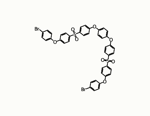 O=S(=O)(c1ccc(Oc2ccc(Br)cc2)cc1)c1ccc(Oc2ccc(Oc3ccc(S(=O)(=O)c4ccc(Oc5ccc(Br)cc5)cc4)cc3)cc2)cc1